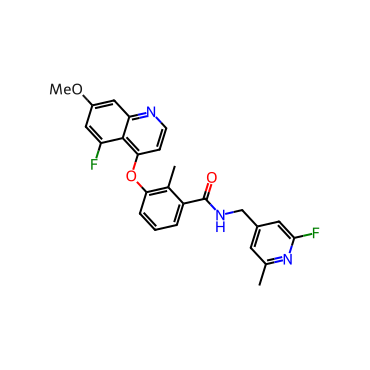 COc1cc(F)c2c(Oc3cccc(C(=O)NCc4cc(C)nc(F)c4)c3C)ccnc2c1